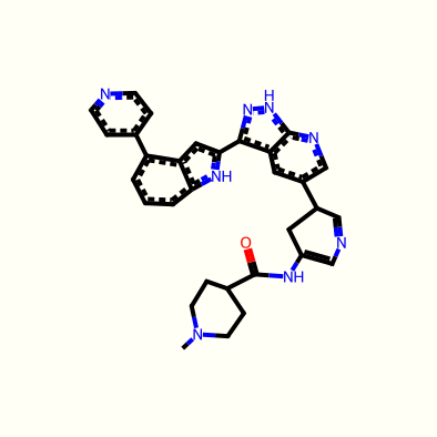 CN1CCC(C(=O)NC2=CN=CC(c3cnc4[nH]nc(-c5cc6c(-c7ccncc7)cccc6[nH]5)c4c3)C2)CC1